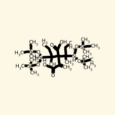 C=C(C(=O)O)C(C(=O)O)(C(C)(CC)[SiH](O[Si](C)(C)C)O[Si](C)(C)C)C(C)(CC)[SiH](O[Si](C)(C)C)O[Si](C)(C)C